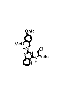 CCCCC(CO)Nc1nc(NCc2ccc(OC)cc2OC)nc2cccnc12